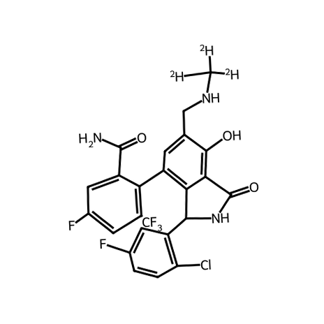 [2H]C([2H])([2H])NCc1cc(-c2c(C(N)=O)cc(F)cc2C(F)(F)F)c2c(c1O)C(=O)NC2c1cc(F)ccc1Cl